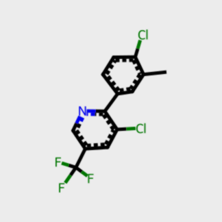 Cc1cc(-c2ncc(C(F)(F)F)cc2Cl)ccc1Cl